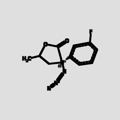 CC1C[N@@+](N=[N+]=[N-])(c2cccc(F)c2)C(=O)O1